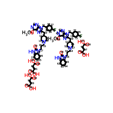 COc1ncnc2c1nc(CC1CCN(CCCn3c(=O)[nH]c4ccccc43)CC1)n2Cc1ccc(F)cc1.COc1ncnc2c1nc(CC1CCN(CCCn3c(=O)[nH]c4ccccc43)CC1)n2Cc1ccc(F)cc1.O=C(O)C=CC(=O)O.O=C(O)C=CC(=O)O.O=C(O)C=CC(=O)O